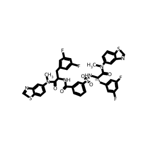 CN(C(=O)C(Cc1cc(F)cc(F)c1)NC(=O)c1cccc(S(=O)(=O)N[C@@H](Cc2cc(F)cc(F)c2)C(=O)N(C)c2ccc3scnc3c2)c1)c1ccc2scnc2c1